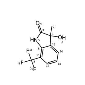 CC1(O)C(=O)Nc2c(C(F)(F)F)cccc21